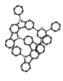 c1ccc(-c2cc(-c3ccc4c(c3)c3c(ccc5c6ccccc6n(-c6ccc7c(c6)c6c(ccc8c9ccccc9n(-c9ccccc9)c86)n7-c6ccccc6)c53)n4-c3ccccc3)nc(-c3ccccc3)n2)cc1